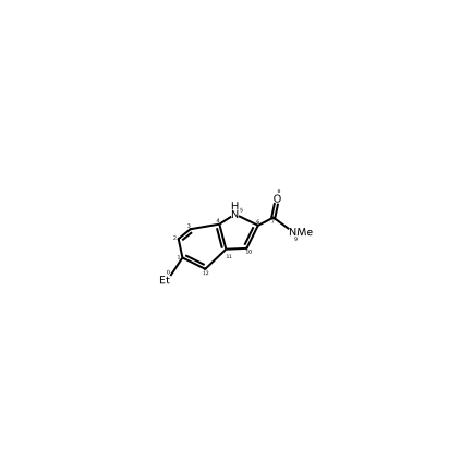 CCc1ccc2[nH]c(C(=O)NC)cc2c1